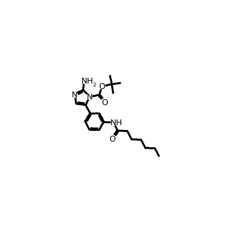 CCCCCCC(=O)Nc1cccc(-c2cnc(N)n2C(=O)OC(C)(C)C)c1